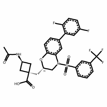 CC(=O)N[C@H]1C[C@@](C[C@H]2CN(S(=O)(=O)c3cccc(C(F)(F)F)c3)c3cc(-c4cc(F)ccc4F)ccc3O2)(C(=O)O)C1